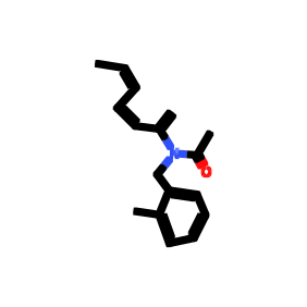 C=C(/C=C\C=C/C)N(Cc1ccccc1C)C(C)=O